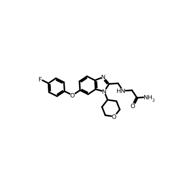 NC(=O)CNCc1nc2ccc(Oc3ccc(F)cc3)cc2n1C1CCOCC1